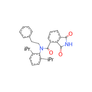 CC(C)c1cccc(C(C)C)c1N(CCc1ccccc1)C(=O)c1cccc2c1C(=O)NC2=O